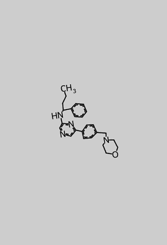 CCCC(Nc1cncc(-c2ccc(CN3CCOCC3)cc2)n1)c1ccccc1